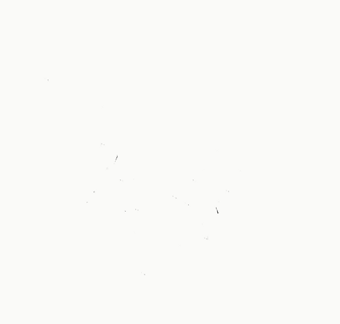 Cc1ncsc1-c1ccc(CNC(=O)[C@@H]2C[C@@H](O)CN2C(=O)C(C(C)C)n2cc(-c3ccnc(O[C@H]4C[C@@H](NC(=O)C[C@@H]5N=C(c6ccc(Cl)cc6)c6c(sc(C)c6C)-n6c(C)nnc65)C4)c3)cn2)cc1